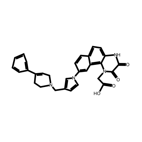 O=C(O)Cn1c(=O)c(=O)[nH]c2ccc3ccc(-n4ccc(CN5CC=C(c6ccccc6)CC5)c4)cc3c21